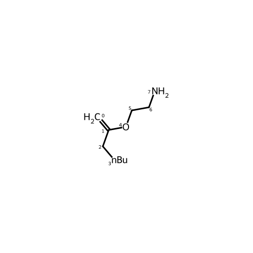 C=C(CCCCC)OCCN